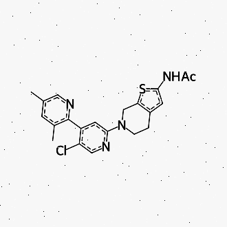 CC(=O)Nc1cc2c(s1)CN(c1cc(-c3ncc(C)cc3C)c(Cl)cn1)CC2